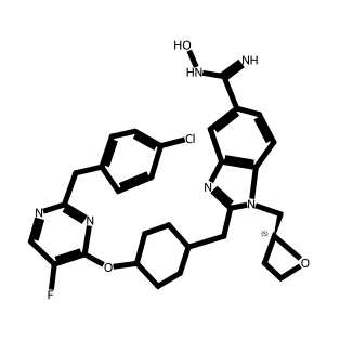 N=C(NO)c1ccc2c(c1)nc(CC1CCC(Oc3nc(Cc4ccc(Cl)cc4)ncc3F)CC1)n2C[C@@H]1CCO1